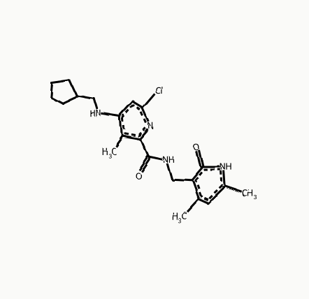 Cc1cc(C)c(CNC(=O)c2nc(Cl)cc(NCC3CCCC3)c2C)c(=O)[nH]1